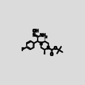 C[C@@H]1CN(C(=O)OC(C)(C)C)[C@@H](C)CN1C(/C(N)=N/O)c1ccc(F)cc1